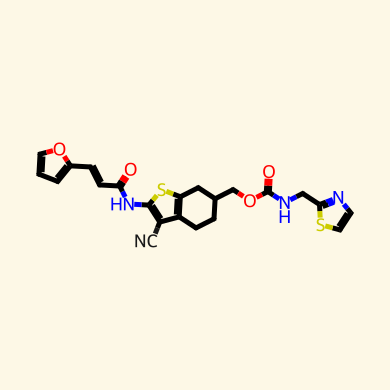 N#Cc1c(NC(=O)C=Cc2ccco2)sc2c1CCC(COC(=O)NCc1nccs1)C2